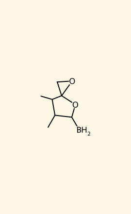 BC1OC2(CO2)C(C)C1C